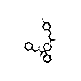 O=C(CCc1ccc(F)cc1)N1CCC(C(=O)NCC2CCCCC2)(c2ccccc2)CC1